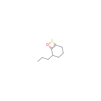 CCCC1CCCc2soc21